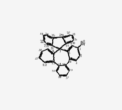 Brc1ccc2c(c1)C1(c3ccccc3-c3ccccc3-2)c2ccccc2-c2ccccc21